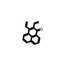 C=CC1=C(C=C)c2cccc3cccc(c23)C1=O